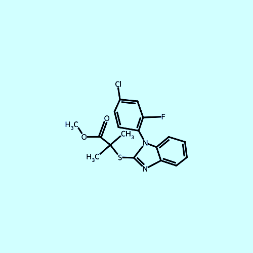 COC(=O)C(C)(C)Sc1nc2ccccc2n1-c1ccc(Cl)cc1F